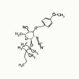 CCCC(C)(C)[Si](C)(C)O[C@H]1O[C@@H](C)[C@@H](O)[C@@H](OCc2ccc(OC)cc2)[C@@H]1N=[N+]=[N-]